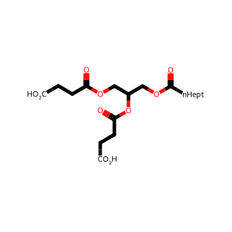 CCCCCCCC(=O)OCC(COC(=O)CCC(=O)O)OC(=O)CCC(=O)O